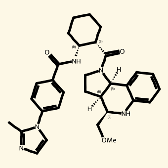 COC[C@@H]1Nc2ccccc2[C@H]2[C@@H]1CCN2C(=O)[C@H]1CCCC[C@H]1NC(=O)c1ccc(-n2ccnc2C)cc1